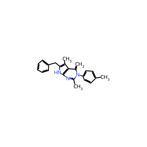 C=C1c2c([nH]c(Cc3ccccc3)c2C)N=C(C)N1c1ccc(C)cc1